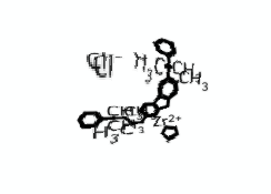 Cc1cc2c(cc1C(C)(C)c1ccccc1)-c1ccc(CC(C)C(C)C(C)(C)c3ccccc3)[c]([Zr+2][C]3=CC=CC3)c1C2.[Cl-].[Cl-]